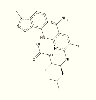 CC(C)C[C@H](Nc1nc(Nc2cccc3c2cnn3C)c(C(N)=O)cc1F)[C@H](C)NC(=O)O